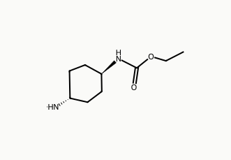 CCOC(=O)N[C@H]1CC[C@H]([NH])CC1